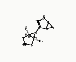 C1C2ON=C(C3[C@H]4CNC[C@@H]34)C12